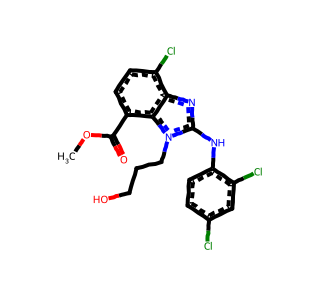 COC(=O)c1ccc(Cl)c2nc(Nc3ccc(Cl)cc3Cl)n(CCCO)c12